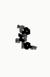 CC/C(C(=O)Nc1ccc(C(C)C)cc1)=C(\C)NC(=O)c1ccccc1OC(C)=O